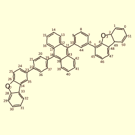 C1=CC2Oc3c(-c4cccc(-c5c6ccccc6c(-c6ccc(-c7ccc8oc9ccccc9c8c7)cc6)c6ccccc56)c4)cccc3C2C=C1